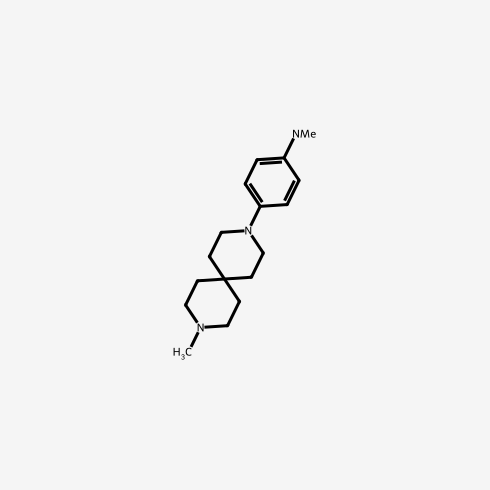 CNc1ccc(N2CCC3(CCN(C)CC3)CC2)cc1